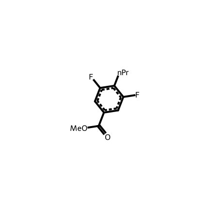 CCCc1c(F)cc(C(=O)OC)cc1F